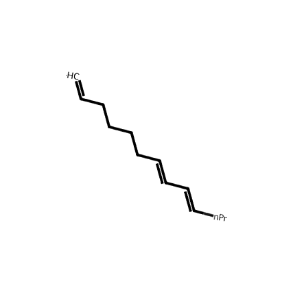 [CH]=CCCCCC=CC=CCCC